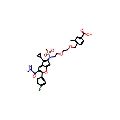 CNC(=O)c1cc2c(C3CC3)c(N(CCOCCOCc3ccc(C(=O)O)cc3C)S(C)(=O)=O)cc-2oc1-c1ccc(F)cc1